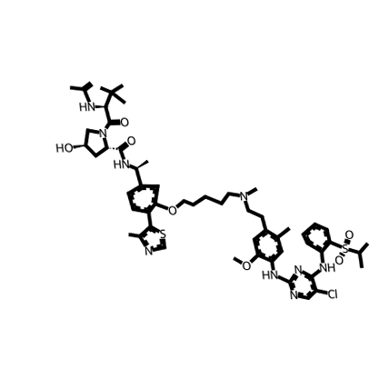 C=C(C)N[C@H](C(=O)N1C[C@H](O)C[C@H]1C(=O)N[C@@H](C)c1ccc(-c2scnc2C)c(OCCCCCN(C)CCc2cc(OC)c(Nc3ncc(Cl)c(Nc4ccccc4S(=O)(=O)C(C)C)n3)cc2C)c1)C(C)(C)C